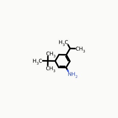 CC(C)C1=CC(N)=CC(C(C)(C)C)C1